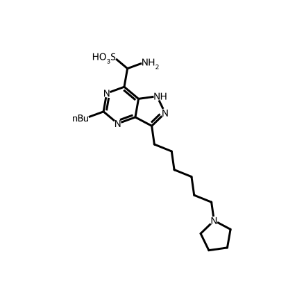 CCCCc1nc(C(N)S(=O)(=O)O)c2[nH]nc(CCCCCCN3CCCC3)c2n1